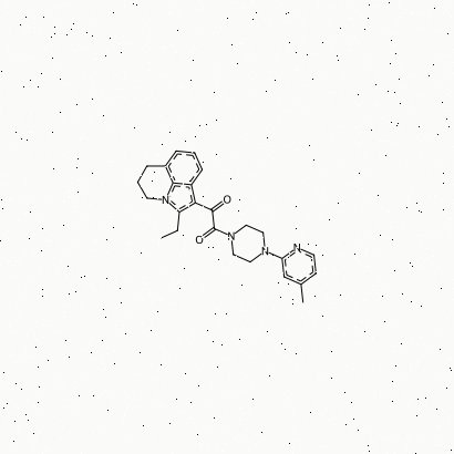 CCc1c(C(=O)C(=O)N2CCN(c3cc(C)ccn3)CC2)c2cccc3c2n1CCC3